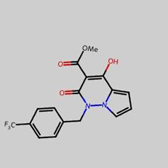 COC(=O)c1c(O)c2cccn2n(Cc2ccc(C(F)(F)F)cc2)c1=O